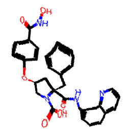 O=C(NO)c1ccc(O[C@@H]2CN(C(=O)O)[C@@](Cc3ccccc3)(C(=O)Nc3cccc4cccnc34)C2)cc1